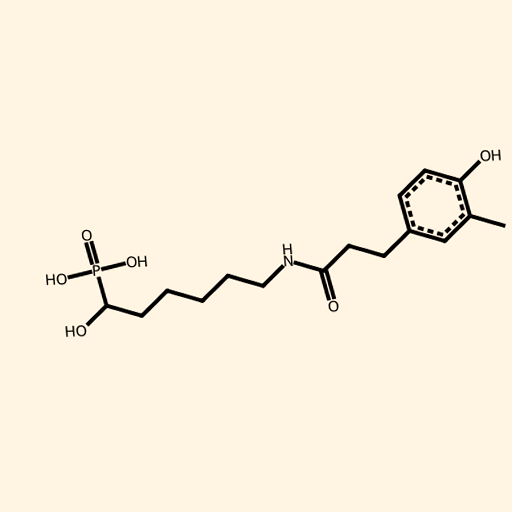 Cc1cc(CCC(=O)NCCCCCC(O)P(=O)(O)O)ccc1O